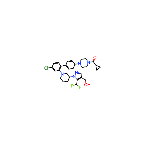 O=C(C1CC1)N1CCN(C2C=CC(c3ccc(Cl)cc3N3CCCC(n4ncc(CO)c4C(F)F)C3)=CC2)CC1